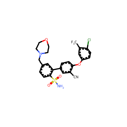 N#Cc1cc(-c2cc(CN3CCOCC3)ccc2S(N)(=O)=O)ccc1Oc1ccc(Cl)c(C(F)(F)F)c1